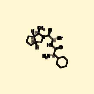 CC(C)[C@H](NC(=O)[C@@H](N)C1CCCCC1)C(=O)N1C[C@@H]2CCC[C@@H]2[C@H]1C